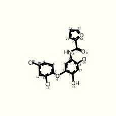 O=C(Nc1cc(Oc2ccc(Cl)cc2Cl)c(O)cc1Cl)c1ccco1